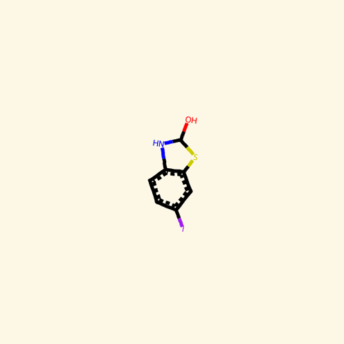 OC1Nc2ccc(I)cc2S1